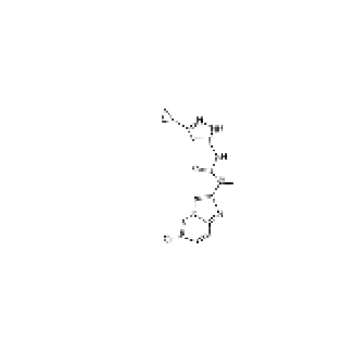 C[C@H](C(=O)Nc1cc(C2CC2)n[nH]1)c1cn2cc(Cl)ccc2n1